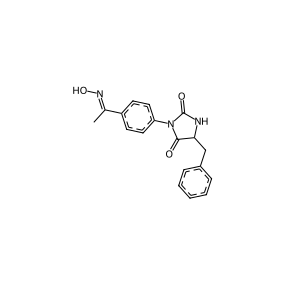 C/C(=N\O)c1ccc(N2C(=O)NC(Cc3ccccc3)C2=O)cc1